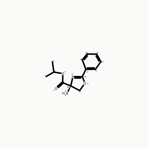 B[C@]1(C(=O)OC(C)C)COC(c2ccccc2)=N1